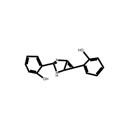 Oc1ccccc1C1=NC2=C(c3ccccc3O)C2N1